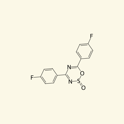 O=S1N=C(c2ccc(F)cc2)N=C(c2ccc(F)cc2)O1